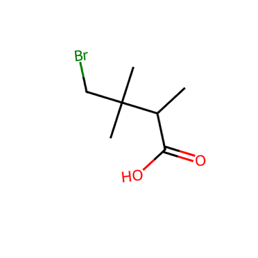 CC(C(=O)O)C(C)(C)CBr